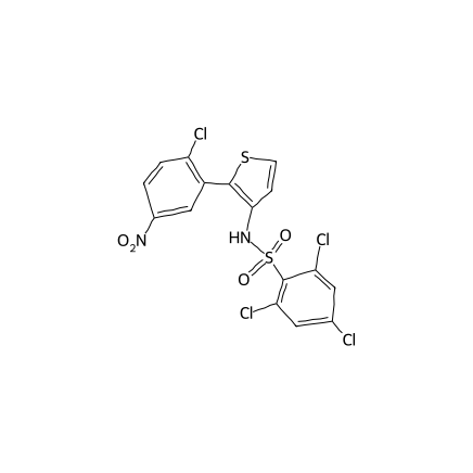 O=[N+]([O-])c1ccc(Cl)c(-c2sccc2NS(=O)(=O)c2c(Cl)cc(Cl)cc2Cl)c1